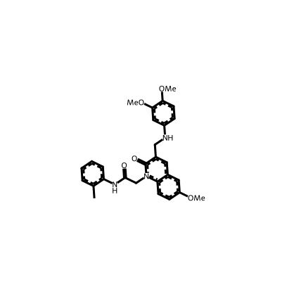 COc1ccc2c(c1)cc(CNc1ccc(OC)c(OC)c1)c(=O)n2CC(=O)Nc1ccccc1C